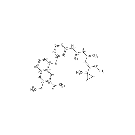 C=C(/C=C(\OC)C1(C)CC1)NC(=N)Nc1cccc(Cc2ncnc3cc(CC)c(OC)cc23)c1